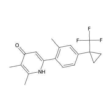 Cc1cc(C2(C(F)(F)F)CC2)ccc1-c1cc(=O)c(C)c(C)[nH]1